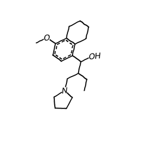 CCC(CN1CCCC1)C(O)c1ccc(OC)c2c1CCCC2